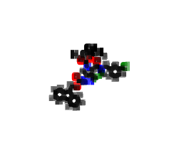 CC(C)(C)OC(=O)N1C[C@H](NC(=O)OCC2c3ccccc3-c3ccccc32)[C@H](F)[C@@H]1C(=O)N(F)Cc1cccc(Cl)c1